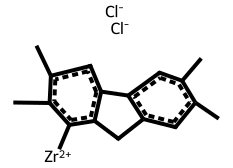 Cc1cc2c(cc1C)-c1cc(C)c(C)[c]([Zr+2])c1C2.[Cl-].[Cl-]